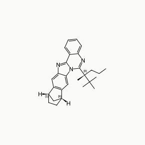 CCC[C@@](C)(c1nc2ccccc2c2nc3cc4c(cc3n12)[C@@H]1CC[C@H]4C1)C(C)(C)C